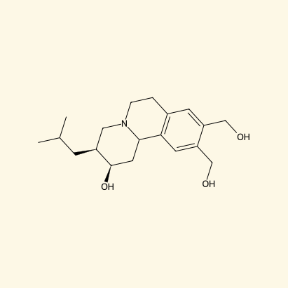 CC(C)C[C@H]1CN2CCc3cc(CO)c(CO)cc3C2C[C@H]1O